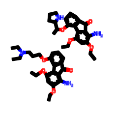 CCOc1cc(OCC)c2c(c1N)C(=O)c1cccc(OC(C)C3CCCN3)c1-2.CCOc1cc(OCC)c2c(c1N)C(=O)c1cccc(OCCCN(CC)CC)c1-2